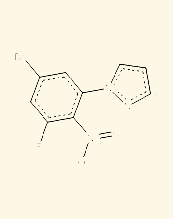 O=[N+]([O-])c1c(F)cc(Br)cc1-n1cccn1